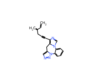 C=CC(=C)CC#Cc1ncn2c1Cc1cnnn1-c1ccccc1-2